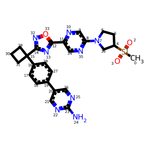 CS(=O)(=O)C1CCN(c2cnc(-c3nc(C4(c5ccc(-c6cnc(N)nc6)cc5)CCC4)no3)cn2)C1